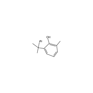 Cc1cccc(C(C)(C)C(C)C)c1O